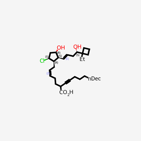 CCCCCCCCCCCCCC#CC(CC/C=C\C[C@@H]1[C@H](/C=C/C[C@H](O)C2(CC)CCC2)[C@H](O)C[C@@H]1Cl)C(=O)O